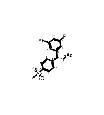 CC(=O)C[C@H](c1ccc(S(C)(=O)=O)cc1)c1cc(F)cc(F)c1